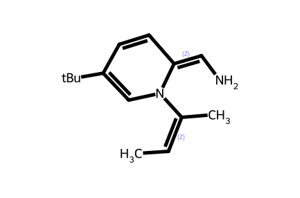 C/C=C(/C)N1C=C(C(C)(C)C)C=C/C1=C/N